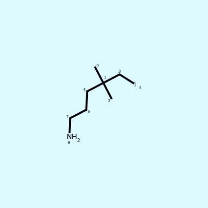 CC(C)(CI)CCCN